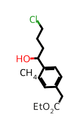 C.CCOC(=O)Cc1ccc(C(O)CCCCl)cc1